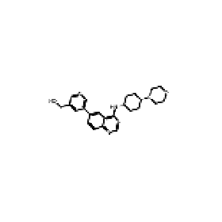 OCc1cncc(-c2ccc3ncnc(N[C@H]4CC[C@H](N5CCOCC5)CC4)c3c2)c1